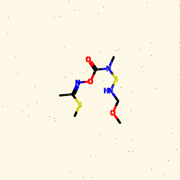 COCNSN(C)C(=O)ON=C(C)SC